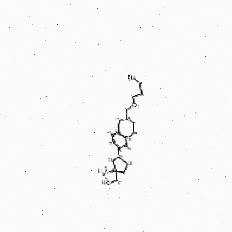 CC/C=C\COCC1CCc2cc([C@H]3CC[C@](N)(CO)C3)ccc2C1